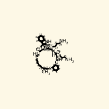 CC1=CSc2ccccc2CN[C@@H](CCCN)C(=O)N[C@@H](CCCCN)C(=O)N(C)[C@@H](Cc2c[nH]c3ccccc23)C(=O)NCC=CC=C1